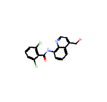 O=C(Nc1cccc2c(CBr)ccnc12)c1c(Cl)cccc1Cl